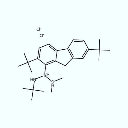 C[SiH](C)[Ti+2]([NH]C(C)(C)C)[c]1c(C(C)(C)C)ccc2c1Cc1cc(C(C)(C)C)ccc1-2.[Cl-].[Cl-]